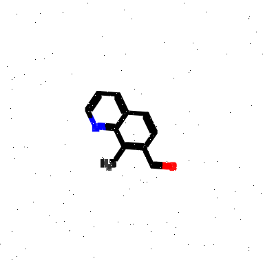 Bc1c(C=O)ccc2cccnc12